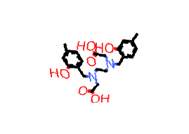 Cc1ccc(CN(CCN(CC(=O)O)Cc2ccc(C)cc2O)CC(=O)O)c(O)c1